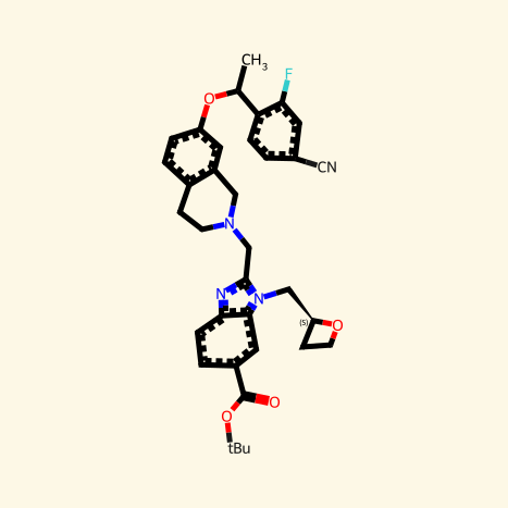 CC(Oc1ccc2c(c1)CN(Cc1nc3ccc(C(=O)OC(C)(C)C)cc3n1C[C@@H]1CCO1)CC2)c1ccc(C#N)cc1F